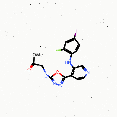 COC(=O)CNc1nnc(-c2ccncc2Nc2ccc(I)cc2F)o1